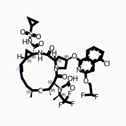 C[C@H]1CC/C=C\[C@@H]2C[C@@]2(C(=O)NS(=O)(=O)C2CC2)NC(=O)[C@@H]2C[C@@H](Oc3nc(OCC(F)F)cc4c(Cl)cccc34)CN2C(=O)[C@@H](N(C(=O)O)[C@H](C)C(F)(F)F)[C@H](C)C1